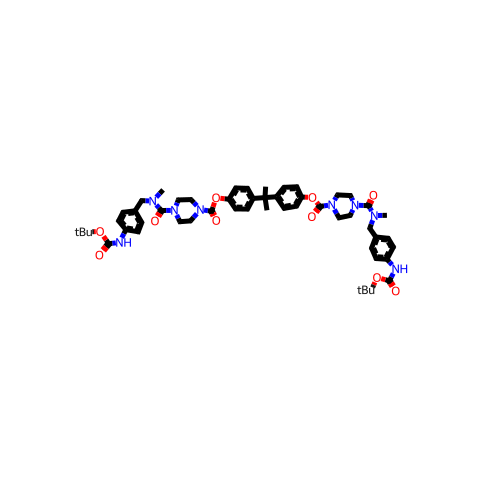 CN(Cc1ccc(NC(=O)OC(C)(C)C)cc1)C(=O)N1CCN(C(=O)Oc2ccc(C(C)(C)c3ccc(OC(=O)N4CCN(C(=O)N(C)Cc5ccc(NC(=O)OC(C)(C)C)cc5)CC4)cc3)cc2)CC1